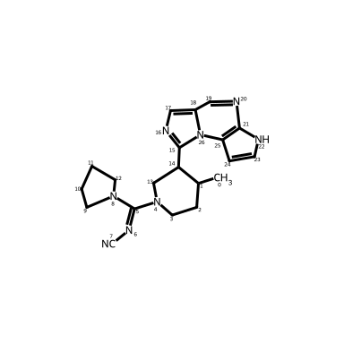 CC1CCN(/C(=N/C#N)N2CCCC2)CC1c1ncc2cnc3[nH]ccc3n12